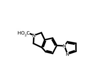 O=C(O)N1Cc2ccc(-n3cccn3)cc2C1